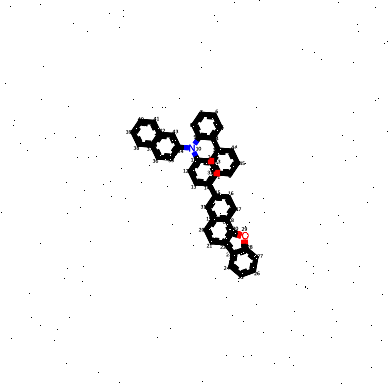 c1ccc(-c2ccccc2N(c2ccc(-c3ccc4c(ccc5c6ccccc6oc45)c3)cc2)c2ccc3ccccc3c2)cc1